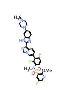 COc1ncc(F)cc1S(=O)(=O)N(C)c1ccc(F)c(-c2ccc3c(-c4nc5ccc(N6CCN(C)CC6)cc5[nH]4)ncn3c2)c1F